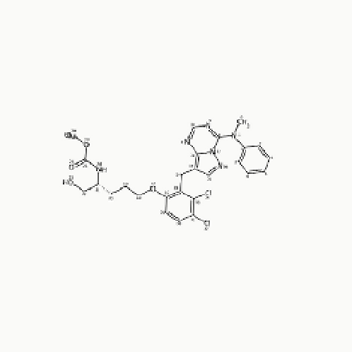 CN(c1ccccc1)c1ncnc2c(Cc3c(OCCC[C@H](CO)NC(=O)OC(C)(C)C)ccc(Cl)c3Cl)cnn12